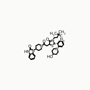 CC(C)(C)CCN1C(=O)C(CC(=O)N2CCC(n3c(=O)[nH]c4ccccc43)CC2)S[C@H]1c1ccccc1N1CCC(O)CC1